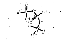 O=P(O)(O)OP(=O)(O)O[PH](Cl)(Cl)Cl